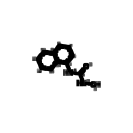 O=C(NO)Nc1cccc2ccccc12